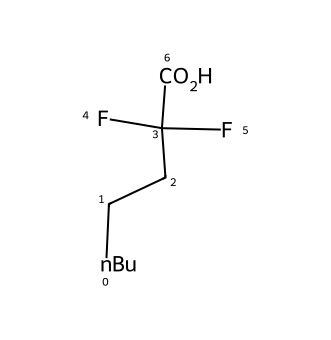 CCCCCCC(F)(F)C(=O)O